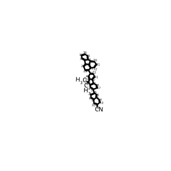 CC1(C)c2cc(-c3ccc4cc(C#N)ccc4c3)ccc2-c2ccc(-c3ccc4c5c(cccc35)-c3ccccc3-4)cc21